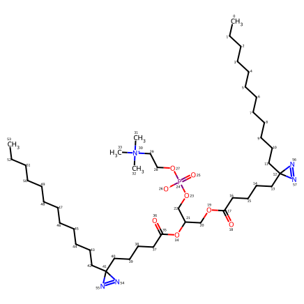 CCCCCCCCCCCCC1(CCCCC(=O)OCC(COP(=O)([O-])OCC[N+](C)(C)C)OC(=O)CCCCC2(CCCCCCCCCCCC)N=N2)N=N1